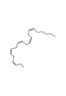 CC/C=C\C/C=C\C/C=C\C/C=C\C/C=C\CCCCC